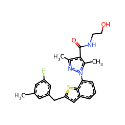 Cc1cc(F)cc(Cc2cc3cccc(-n4nc(C)c(C(=O)NCCO)c4C)c3s2)c1